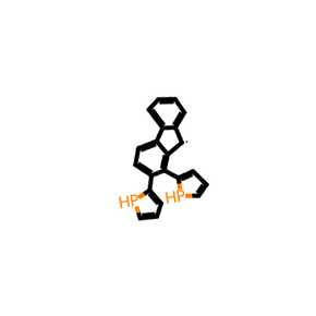 [CH]1c2ccccc2-c2ccc(-c3ccc[pH]3)c(-c3ccc[pH]3)c21